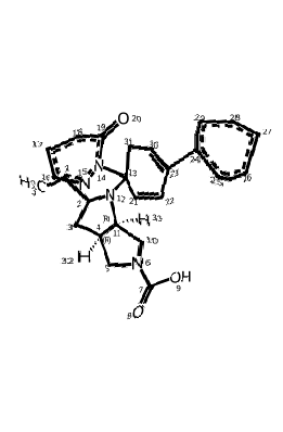 CCC1C[C@@H]2CN(C(=O)O)C[C@@H]2N1C1(n2ncccc2=O)C=CC(c2ccccc2)=CC1